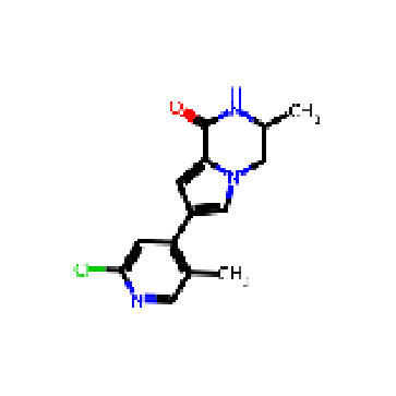 Cc1cnc(Cl)cc1-c1cc2n(c1)CC(C)NC2=O